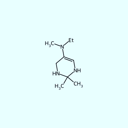 CCN(C)C1=CNC(C)(C)NC1